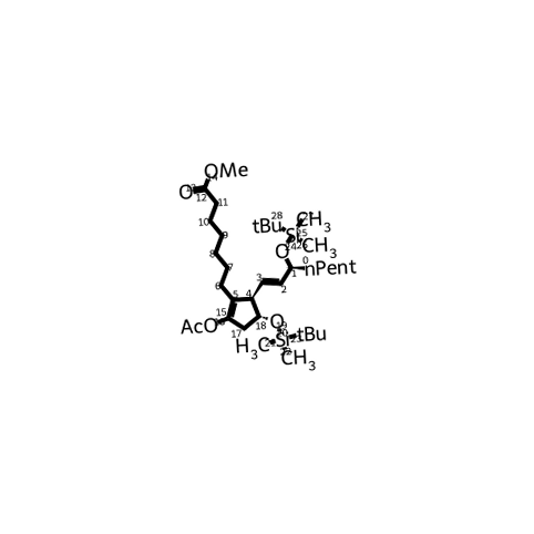 CCCCC[C@@H](/C=C/[C@@H]1C(CCCCCCC(=O)OC)=C(OC(C)=O)C[C@H]1O[Si](C)(C)C(C)(C)C)O[Si](C)(C)C(C)(C)C